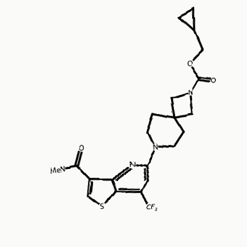 CNC(=O)c1csc2c(C(F)(F)F)cc(N3CCC4(CC3)CN(C(=O)OCC3CC3)C4)nc12